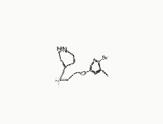 Cc1cc(OCC[C@H](C)C2CCNCC2)ccc1Br